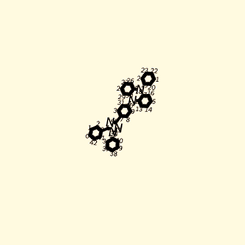 c1ccc(-c2nc(-c3ccc(N4c5ccccc5N(c5ccccc5)c5ccccc54)cc3)nn2-c2ccccc2)cc1